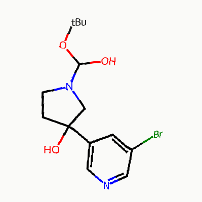 CC(C)(C)OC(O)N1CCC(O)(c2cncc(Br)c2)C1